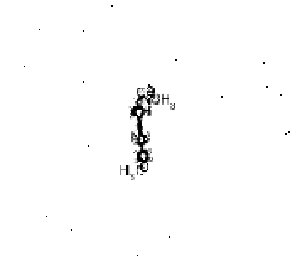 COc1ccc(-c2ccc(C#Cc3ccc(CC(C)NC(C)=O)cc3)nc2)cc1